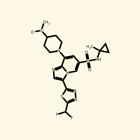 C[S+]([O-])C1CCN(c2cc(S(=O)(=O)NC3(C)CC3)cn3c(-c4nnc(C(F)F)s4)cnc23)CC1